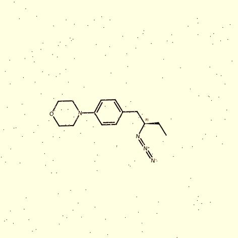 CC[C@H](Cc1ccc(N2CCOCC2)cc1)N=[N+]=[N-]